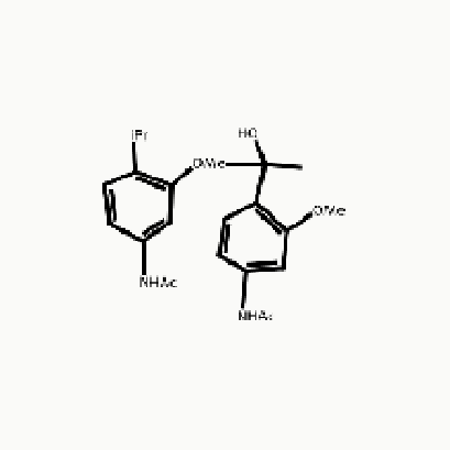 COc1cc(NC(C)=O)ccc1C(C)(C)O.COc1cc(NC(C)=O)ccc1C(C)C